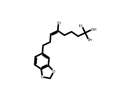 CCC(=CCCc1ccc2c(c1)OCO2)CCCC(O)(CC)C(C)C